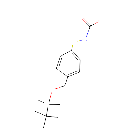 CC(C)(C)[Si](C)(C)OCc1ccc([S@+]([O-])NC(=O)O)cc1